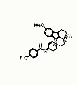 COc1ccc2c(c1)c1c3n2[C@@]2(C=C/C(=N\Nc4ccc(C(F)(F)F)cc4)CC2)CC[C@@H]3NCC1